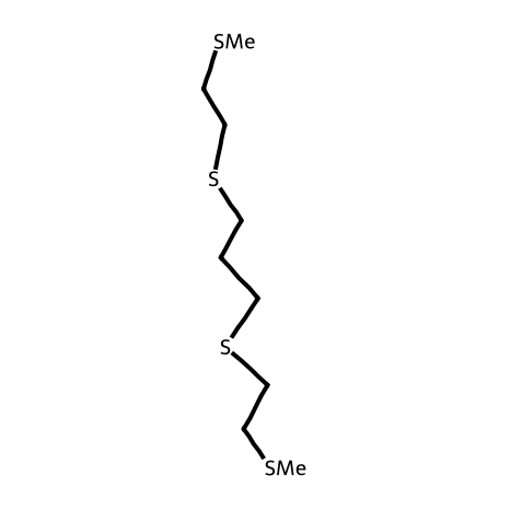 CSCCSCCCSCCSC